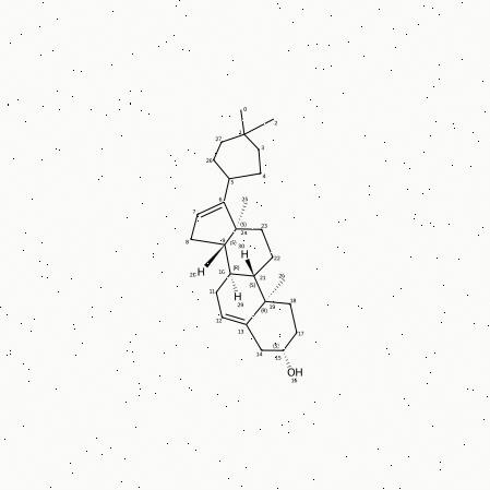 CC1(C)CCC(C2=CC[C@H]3[C@@H]4CC=C5C[C@@H](O)CC[C@]5(C)[C@H]4CC[C@]23C)CC1